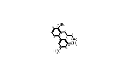 CC(=O)CCCc1c(-c2cc(C)cc(C)c2)cccc1C(C)(C)C